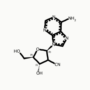 N#CC1[C@H](n2cnc3c(N)ncnc32)O[C@H](CO)[C@H]1O